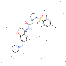 Cc1cc(C)c(S(=O)(=O)N2CCC[C@H]2CC(=O)N[C@@H]2CCOc3cc(CN4CCCCC4)ccc32)c(C)c1